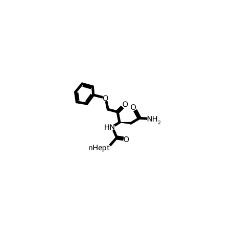 CCCCCCCC(=O)N[C@H](CC(N)=O)C(=O)COc1ccccc1